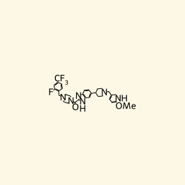 COC1=CC=C(CN2CCC(c3ccc4nc(C(=O)N5CCN(Cc6ccc(C(F)(F)F)cc6F)CC5)[nH]c4c3)CC2)CN1